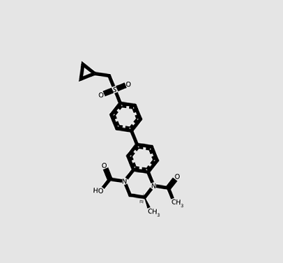 CC(=O)N1c2ccc(-c3ccc(S(=O)(=O)CC4CC4)cc3)cc2N(C(=O)O)C[C@@H]1C